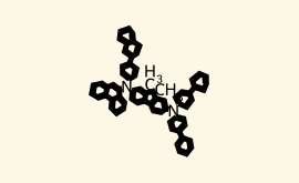 CC1(C)c2cc(N(c3ccc(-c4ccccc4)cc3)c3ccc(-c4ccccc4)cc3)ccc2-c2ccc(N(c3ccc(-c4ccc5ccccc5c4)cc3)c3cc4ccccc4c4ccccc34)cc21